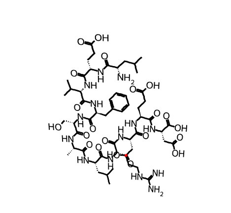 CC(C)C[C@H](NC(=O)[C@H](C)NC(=O)[C@H](CO)NC(=O)[C@H](Cc1ccccc1)NC(=O)[C@@H](NC(=O)[C@H](CCC(=O)O)NC(=O)[C@@H](N)CC(C)C)C(C)C)C(=O)N[C@@H](CCCNC(=N)N)C(=O)N[C@@H](CC(=O)O)C(=O)N[C@@H](CCC(=O)O)C(=O)N[C@@H](CC(=O)O)C(=O)O